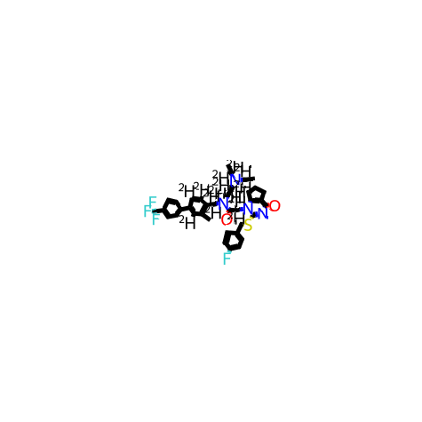 [2H]c1c([2H])c(C([2H])([2H])N(C(=O)C([2H])([2H])n2c(SCc3ccc(F)cc3)nc(=O)c3c2CCC3)C([2H])([2H])C([2H])([2H])N(C([2H])([2H])C)C([2H])([2H])C)c(C)c([2H])c1-c1ccc(C(F)(F)F)cc1